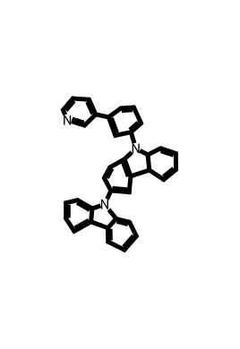 C1=CC2c3cc(-n4c5ccccc5c5ccccc54)ccc3N(c3cccc(-c4cccnc4)c3)C2C=C1